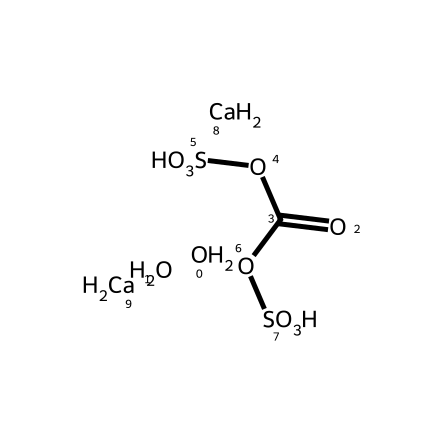 O.O.O=C(OS(=O)(=O)O)OS(=O)(=O)O.[CaH2].[CaH2]